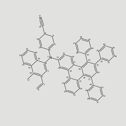 C=Cc1cc(N(C2=CCC(C#N)C=C2)c2ccc3c(c2)c2ccccc2c2c(-c4ccccc4)cc(-c4ccccc4)c(-c4ccccc4)c32)c2ccccc2c1C